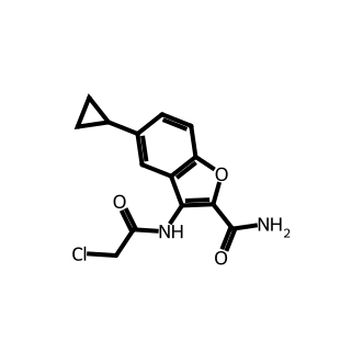 NC(=O)c1oc2ccc(C3CC3)cc2c1NC(=O)CCl